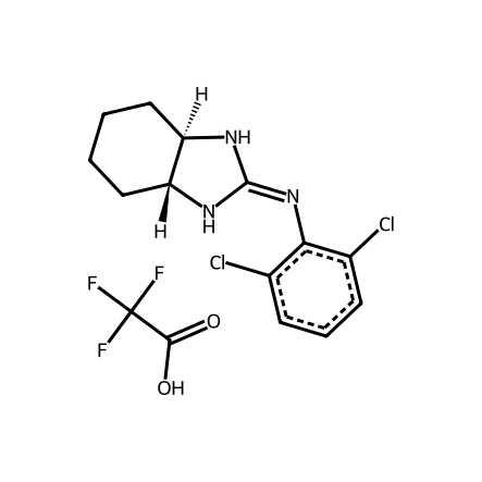 Clc1cccc(Cl)c1N=C1N[C@@H]2CCCC[C@H]2N1.O=C(O)C(F)(F)F